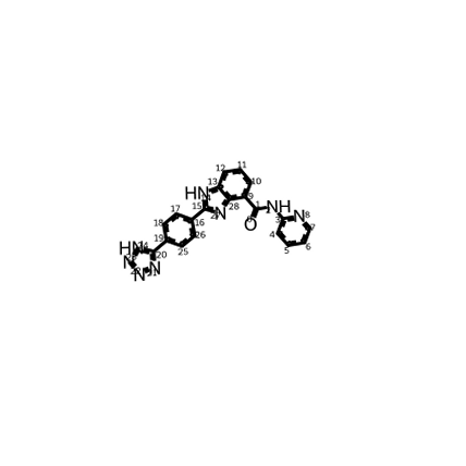 O=C(Nc1ccccn1)c1cccc2[nH]c(-c3ccc(-c4nnn[nH]4)cc3)nc12